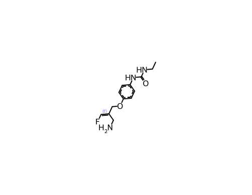 CCNC(=O)Nc1ccc(OC/C(=C/F)CN)cc1